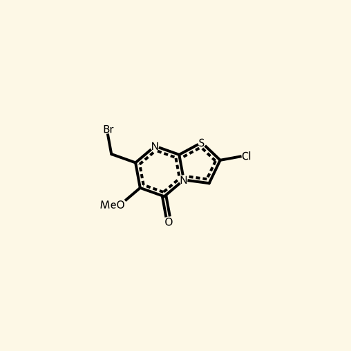 COc1c(CBr)nc2sc(Cl)cn2c1=O